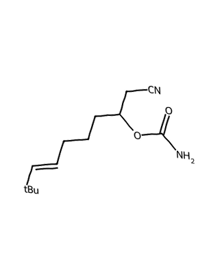 CC(C)(C)C=CCCCC(CC#N)OC(N)=O